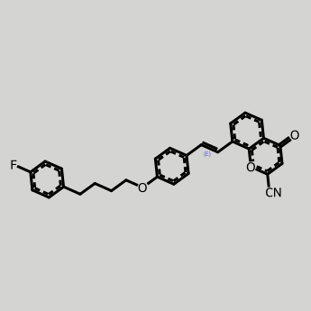 N#Cc1cc(=O)c2cccc(/C=C/c3ccc(OCCCCc4ccc(F)cc4)cc3)c2o1